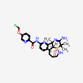 CC1(C)C(N)=N[C@](C)(c2nc(NC(=O)c3ccc(OCF)cn3)ccc2F)[C@@H]2CCCCNS21O